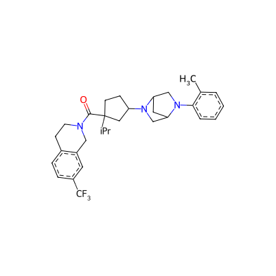 Cc1ccccc1N1CC2CC1CN2C1CCC(C(=O)N2CCc3ccc(C(F)(F)F)cc3C2)(C(C)C)C1